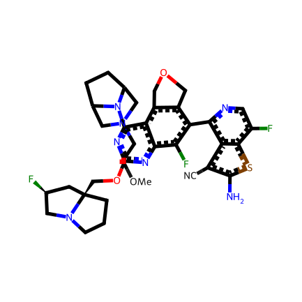 COCCN1CC2CCC(C1)N2c1nc(OC[C@@]23CCCN2C[C@@H](F)C3)nc2c(F)c(-c3ncc(F)c4sc(N)c(C#N)c34)c3c(c12)COC3